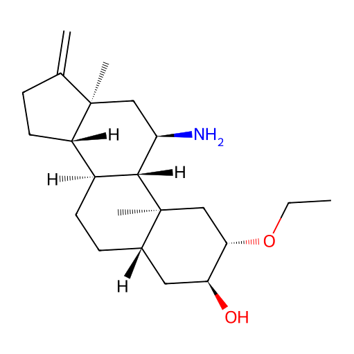 C=C1CC[C@H]2[C@@H]3CC[C@H]4C[C@H](O)[C@@H](OCC)C[C@]4(C)[C@H]3[C@H](N)C[C@]12C